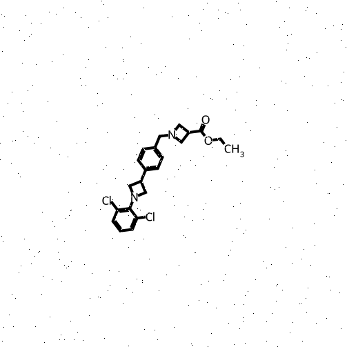 CCOC(=O)C1CN(Cc2ccc(C3CN(c4c(Cl)cccc4Cl)C3)cc2)C1